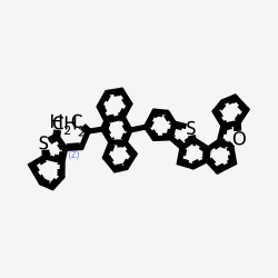 C=C(/C=c1\c(=C)sc2ccccc12)c1c2ccccc2c(-c2ccc3sc4c(ccc5ccc6oc7ccccc7c6c54)c3c2)c2ccccc12